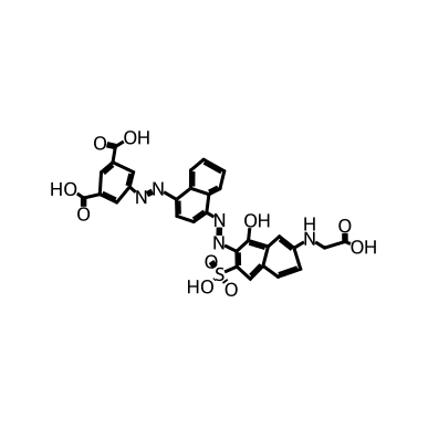 O=C(O)CNc1ccc2cc(S(=O)(=O)O)c(N=Nc3ccc(N=Nc4cc(C(=O)O)cc(C(=O)O)c4)c4ccccc34)c(O)c2c1